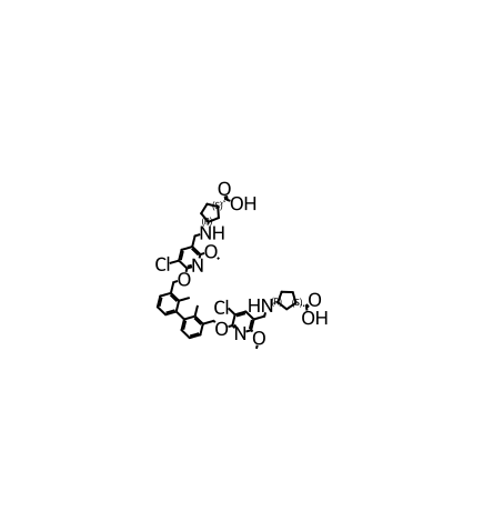 COc1nc(OCc2cccc(-c3cccc(COc4nc(OC)c(CN[C@@H]5CC[C@H](C(=O)O)C5)cc4Cl)c3C)c2C)c(Cl)cc1CN[C@@H]1CC[C@H](C(=O)O)C1